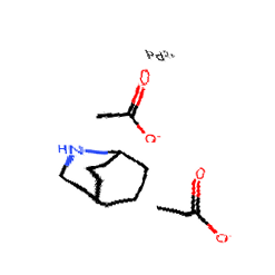 C1CC2CC1CN2.CC(=O)[O-].CC(=O)[O-].[Pd+2]